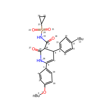 CCCCOc1ccc(C2=CC(c3ccc(C(C)(C)C)cc3)C(C(=O)NS(=O)(=O)C3CC3)C(=O)N2)cc1